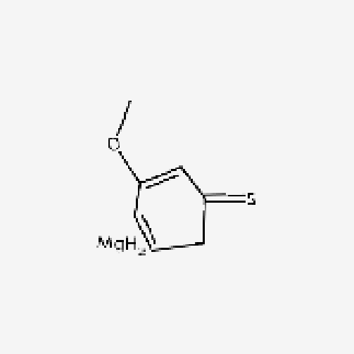 COC1=CC(=S)CC=C1.[MgH2]